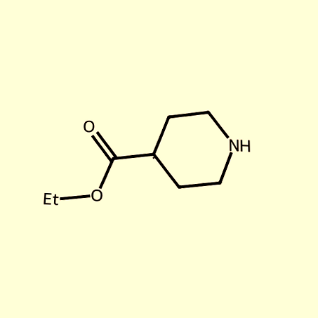 CCOC(=O)[C]1CCNCC1